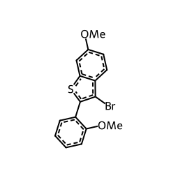 COc1ccc2c(Br)c(-c3ccccc3OC)sc2c1